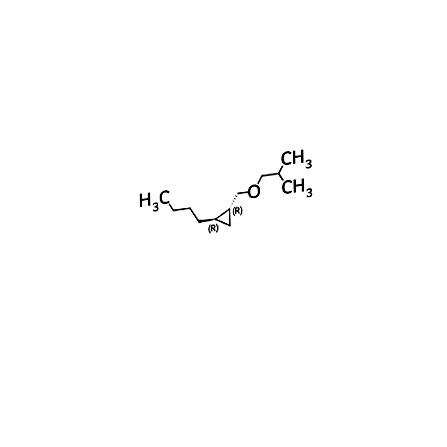 CCCC[C@@H]1C[C@H]1COCC(C)C